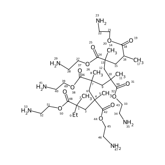 CCC(C)(CC(C)(CC(C)(CC(C)(CC(C)(CC(C)C(=O)OCCN)C(=O)OCCN)C(=O)OCCN)C(=O)OCCN)C(=O)OCCN)C(=O)OCCN